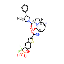 N#C[C@H]1CN(C(=O)[C@@H]2CC[C@@H]3/C=C\CC[C@H](NC(=O)c4cc5cc(C(F)(F)P(=O)(O)O)ccc5s4)C(=O)N32)CC1c1ccccc1